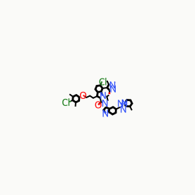 Cc1cc(OCCCc2c3n(c4c(-c5c(C)nn(C)c5C)c(Cl)ccc24)C(C)CN(c2cn(C)c4ccc(-c5nc6c(C)cccn6n5)cc24)C3=O)cc(C)c1Cl